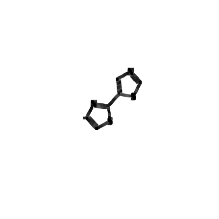 [c]1csc(-c2cncs2)n1